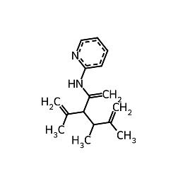 C=C(C)C(C)C(C(=C)C)C(=C)Nc1ccccn1